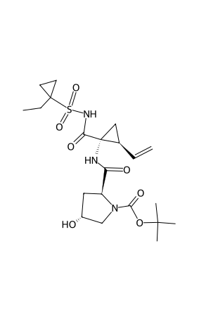 C=C[C@@H]1C[C@]1(NC(=O)[C@@H]1C[C@@H](O)CN1C(=O)OC(C)(C)C)C(=O)NS(=O)(=O)C1(CC)CC1